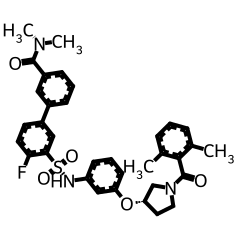 Cc1cccc(C)c1C(=O)N1CC[C@H](Oc2cccc(NS(=O)(=O)c3cc(-c4cccc(C(=O)N(C)C)c4)ccc3F)c2)C1